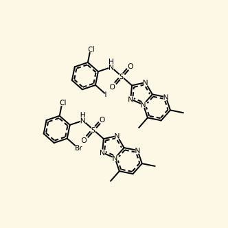 Cc1cc(C)n2nc(S(=O)(=O)Nc3c(Cl)cccc3Br)nc2n1.Cc1cc(C)n2nc(S(=O)(=O)Nc3c(Cl)cccc3I)nc2n1